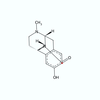 CN1CC[C@@]23CCN(C=O)C[C@H]2[C@H]1Cc1ccc(O)cc13